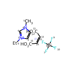 CC[n+]1ccn(C)c1.F[B-](F)(F)F.O=C(O)/C=C\C(=O)O